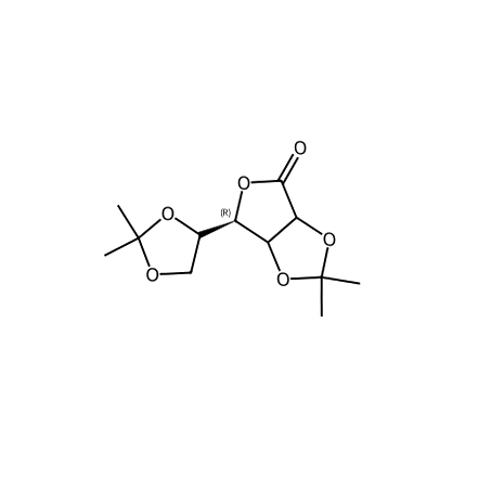 CC1(C)OCC([C@H]2OC(=O)C3OC(C)(C)OC32)O1